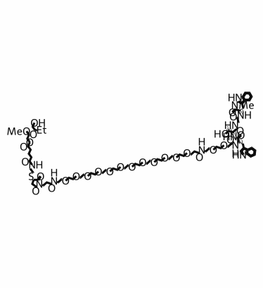 CCC(CO)OC(COC(=O)CCCC(=O)NCCSC1CC(=O)N(CCC(=O)NCCOCCOCCOCCOCCOCCOCCOCCOCCOCCOCCOCCOCCC(=O)NCCOCCOCC(=O)N[C@@H](Cc2c[nH]c3ccccc23)C(=O)N[C@H](C(=O)NCC(=O)N[C@@H](Cc2c[nH]c3ccccc23)C(=O)NC)[C@@H](C)O)C1=O)OC